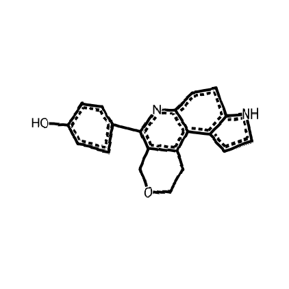 Oc1ccc(-c2nc3ccc4[nH]ccc4c3c3c2COCC3)cc1